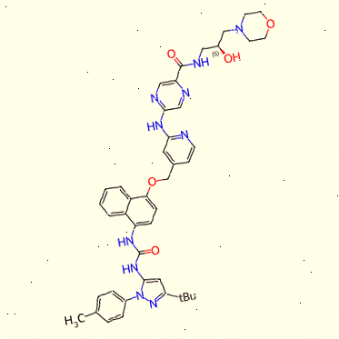 Cc1ccc(-n2nc(C(C)(C)C)cc2NC(=O)Nc2ccc(OCc3ccnc(Nc4cnc(C(=O)NC[C@H](O)CN5CCOCC5)cn4)c3)c3ccccc23)cc1